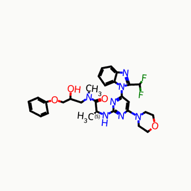 C[C@H](Nc1nc(N2CCOCC2)cc(-n2c(C(F)F)nc3ccccc32)n1)C(=O)N(C)CC(O)COc1ccccc1